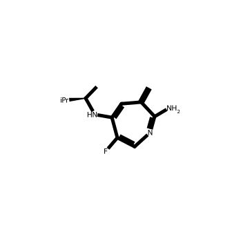 C=C1C=C(N[C@H](C)C(C)C)C(F)=CN=C1N